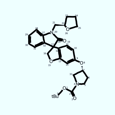 CC(C)(C)OC(=O)N1CC[C@@H](Oc2ccc3c(c2)OCC32C(=O)N(C[C@H]3CCCO3)c3ccccc32)C1